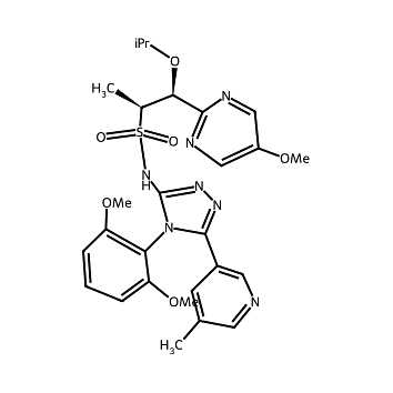 COc1cnc([C@H](OC(C)C)[C@H](C)S(=O)(=O)Nc2nnc(-c3cncc(C)c3)n2-c2c(OC)cccc2OC)nc1